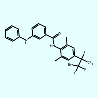 Cc1cc(C(F)(C(F)(F)F)C(F)(F)Br)cc(C)c1NC(=O)c1cccc(Nc2ccccc2)c1